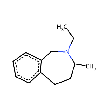 CCN1Cc2ccccc2CCC1C